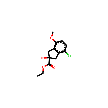 CCOC(=O)C1(O)Cc2c(Cl)ccc(OC)c2C1